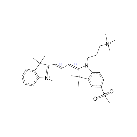 C[N+]1=C(/C=C/C=C2/N(CCC[N+](C)(C)C)c3ccc(S(C)(=O)=O)cc3C2(C)C)C(C)(C)c2ccccc21